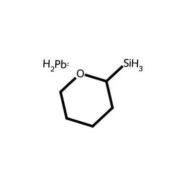 [PbH2].[SiH3]C1CCCCO1